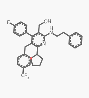 OCc1c(NCCc2ccccc2)nc(C2CCCC2)c(Cc2ccc(C(F)(F)F)cc2)c1-c1ccc(F)cc1